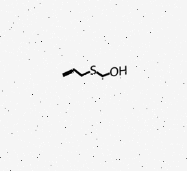 C=CCS[CH]O